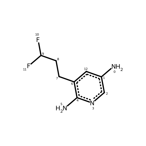 Nc1cnc(N)c(CCC(F)F)c1